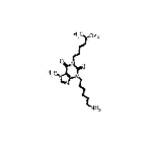 CC(=O)O[C@H](C)CCCCn1c(=O)c2c(ncn2C)n(CCCCCCN)c1=O